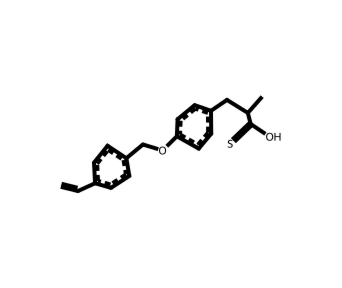 C=Cc1ccc(COc2ccc(CC(C)C(O)=S)cc2)cc1